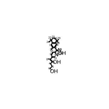 C/C(=C(/O)CCCO)c1ccc(/C(=N\O)c2cc3c(cc2C)C(C)(C)CCC3(C)C)nc1